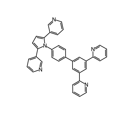 c1ccc(-c2cc(-c3ccc(-n4c(-c5cccnc5)ccc4-c4cccnc4)cc3)cc(-c3ccccn3)c2)nc1